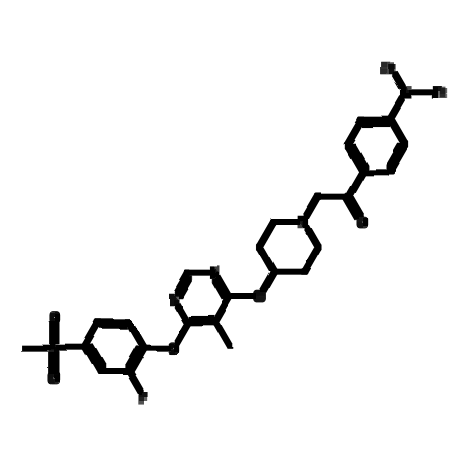 CCN(CC)c1ccc(C(=O)CN2CCC(Oc3ncnc(Oc4ccc(S(C)(=O)=O)cc4F)c3C)CC2)cc1